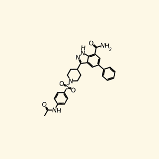 CC(=O)Nc1ccc(S(=O)(=O)N2CCC(c3n[nH]c4c(C(N)=O)cc(-c5ccccc5)cc34)CC2)cc1